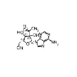 C=C(C)[C@@]1(O)[C@H](O)[C@@H](CO)O[C@H]1n1cnc2c(N)ncnc21